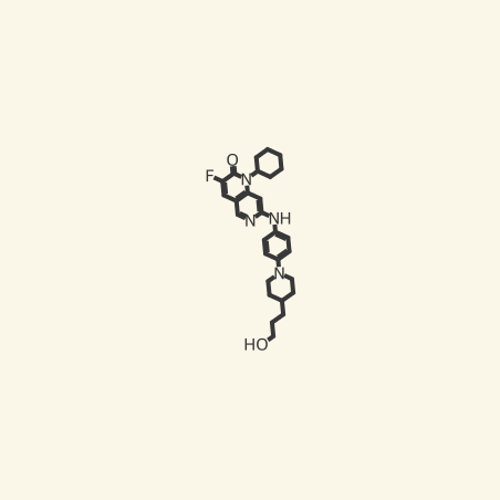 O=c1c(F)cc2cnc(Nc3ccc(N4CCC(CCCO)CC4)cc3)cc2n1C1CCCCC1